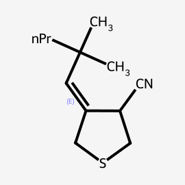 CCCC(C)(C)/C=C1/CSCC1C#N